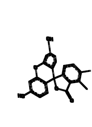 Cc1ccc2c(c1C)C(=O)OC21c2ccc(O)cc2Oc2cc(O)ccc21